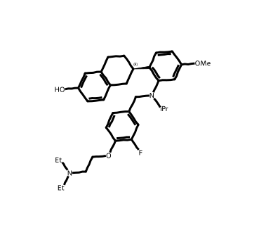 CCN(CC)CCOc1ccc(CN(c2cc(OC)ccc2[C@@H]2CCc3cc(O)ccc3C2)C(C)C)cc1F